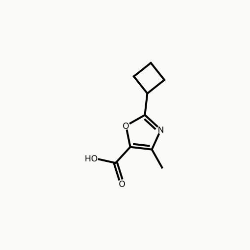 Cc1nc(C2CCC2)oc1C(=O)O